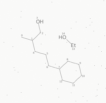 CC(CO)CCCC1CCCCC1.CCO